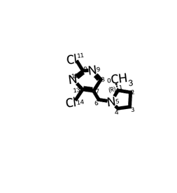 C[C@@H]1CCCN1Cc1cnc(Cl)nc1Cl